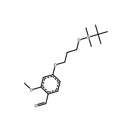 COc1cc(OCCCO[Si](C)(C)C(C)(C)C)ccc1C=O